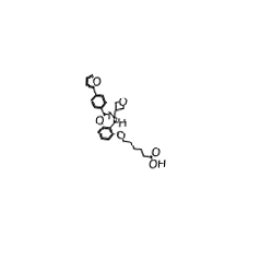 [2H]C(c1ccccc1OCCCCCC(=O)O)N(C(=O)c1ccc(-c2ccco2)cc1)C1COC1